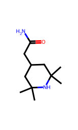 CC1(C)CC(CC(N)=O)CC(C)(C)N1